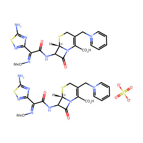 CON=C(C(=O)NC1C(=O)N2C(C(=O)O)=C(C[n+]3ccccc3)CS[C@@H]12)c1nsc(N)n1.CON=C(C(=O)NC1C(=O)N2C(C(=O)O)=C(C[n+]3ccccc3)CS[C@@H]12)c1nsc(N)n1.O=S(=O)([O-])[O-]